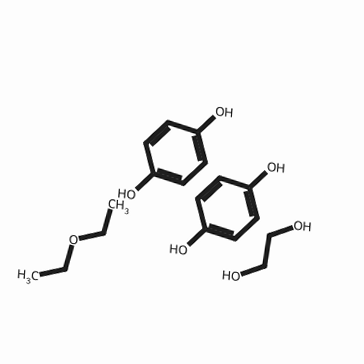 CCOCC.OCCO.Oc1ccc(O)cc1.Oc1ccc(O)cc1